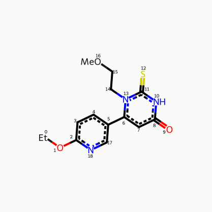 CCOc1ccc(-c2cc(=O)[nH]c(=S)n2CCOC)cn1